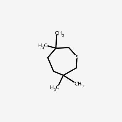 CC1(C)CCC(C)(C)CSC1